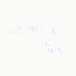 CC(C)(C)N(CCNC(=O)c1cccc(CSc2nc(N)c(C#N)c(-c3ccccc3)c2C#N)c1)C(=O)O